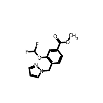 COC(=O)c1ccc(Cn2cccn2)c(OC(F)F)c1